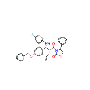 C=CC[C@@H](C(=O)N1C(=O)OC[C@@H]1c1ccccc1)[C@H](Nc1ccc(F)cc1)c1ccc(OCc2ccccc2)cc1